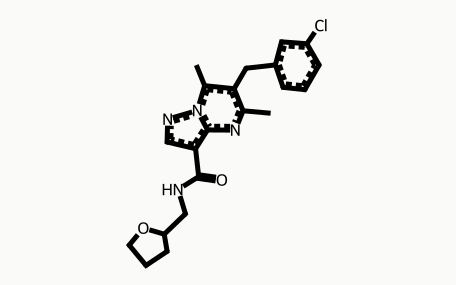 Cc1nc2c(C(=O)NCC3CCCO3)cnn2c(C)c1Cc1cccc(Cl)c1